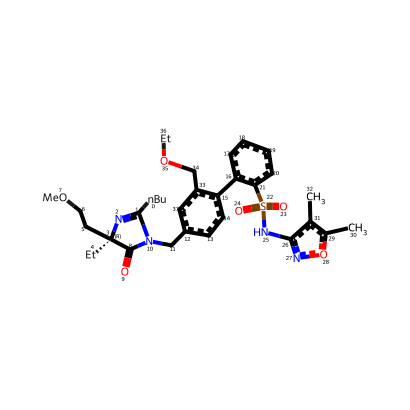 CCCCC1=N[C@](CC)(CCOC)C(=O)N1Cc1ccc(-c2ccccc2S(=O)(=O)Nc2noc(C)c2C)c(COCC)c1